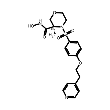 C[C@]1(C(=O)NO)COCCN1S(=O)(=O)c1ccc(OCCc2ccncc2)cc1